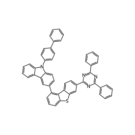 c1ccc(-c2ccc(-n3c4ccccc4c4cc(-c5cccc6sc7cc(-c8nc(-c9ccccc9)nc(-c9ccccc9)n8)ccc7c56)ccc43)cc2)cc1